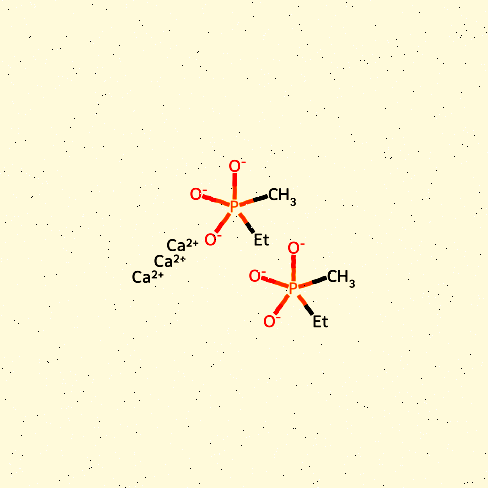 CCP(C)([O-])([O-])[O-].CCP(C)([O-])([O-])[O-].[Ca+2].[Ca+2].[Ca+2]